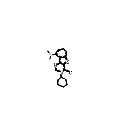 CN(C)c1cccc2sc3c(=O)n(C4CCCCC4)cnc3c12